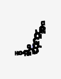 C=C(C)C1C=CN=C(C(=O)C(=N)CCO)/C1=C/NCc1cnc(-n2cc(Cl)cn2)c(C)c1